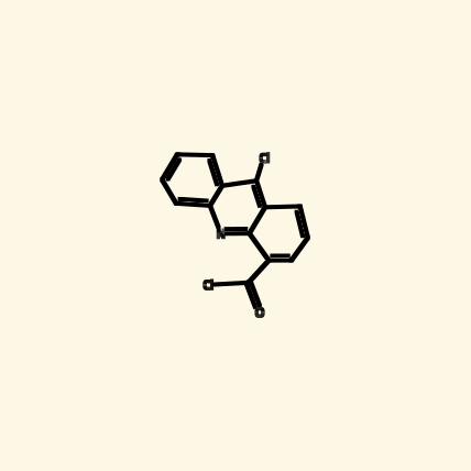 O=C(Cl)c1cccc2c(Cl)c3ccccc3nc12